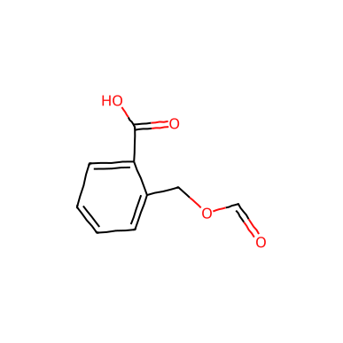 O=COCc1ccccc1C(=O)O